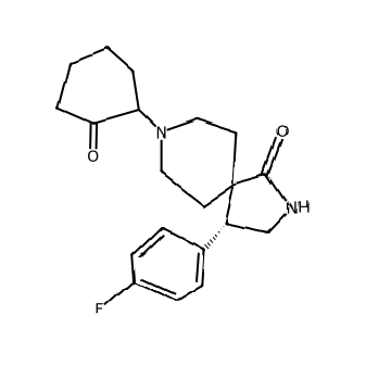 O=C1CCCCC1N1CCC2(CC1)C(=O)NC[C@@H]2c1ccc(F)cc1